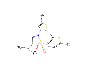 CCCCC(CC)CN1c2cc(C(C)C)sc2-c2sc(C(C)C)cc2S1(=O)=O